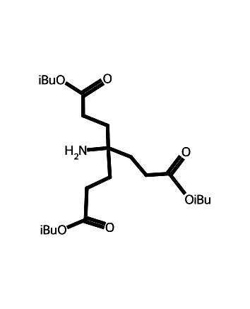 CC(C)COC(=O)CCC(N)(CCC(=O)OCC(C)C)CCC(=O)OCC(C)C